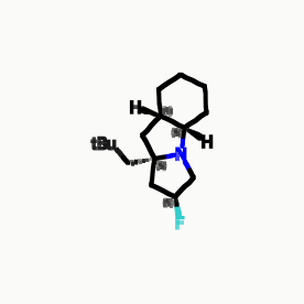 CC(C)(C)C[C@@]12C[C@H](F)CN1[C@H]1CCCC[C@H]1C2